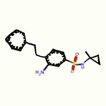 CC1(NS(=O)(=O)c2ccc(CCc3ccccc3)c(N)c2)CC1